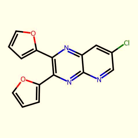 Clc1cnc2nc(-c3ccco3)c(-c3ccco3)nc2c1